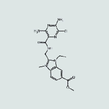 CCn1c(CNC(=O)c2nc(Cl)c(N)nc2N)[n+](C)c2ccc(C(=O)OC)cc21